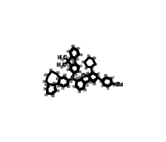 CC(C)(C)c1ccc(-c2cc(C3CCCCC3)c3oc4c(N(c5ccc6c(c5)CCCCc5ccccc5-6)c5ccc6c(c5)C(C)(C)c5ccccc5-6)cccc4c3c2)cc1